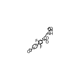 O=C1OC(CNc2ccon2)CN1c1cc(F)c(N2CCN(C3COC3)CC2)c(F)c1